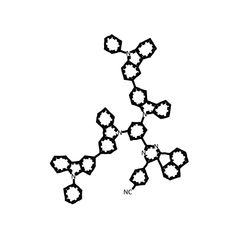 N#Cc1ccc(-c2nc(-c3cc(-n4c5ccccc5c5cc(-c6ccc7c(c6)c6ccccc6n7-c6ccccc6)ccc54)cc(-n4c5ccccc5c5cc(-c6ccc7c(c6)c6ccccc6n7-c6ccccc6)ccc54)c3)nc3c2-c2cccc4cccc-3c24)cc1